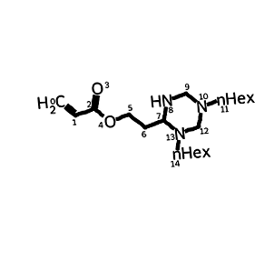 C=CC(=O)OCCC1NCN(CCCCCC)CN1CCCCCC